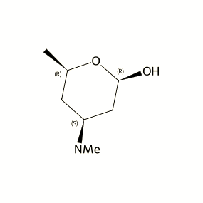 CN[C@H]1C[C@@H](C)O[C@@H](O)C1